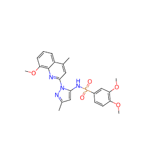 COc1ccc(S(=O)(=O)Nc2cc(C)nn2-c2cc(C)c3cccc(OC)c3n2)cc1OC